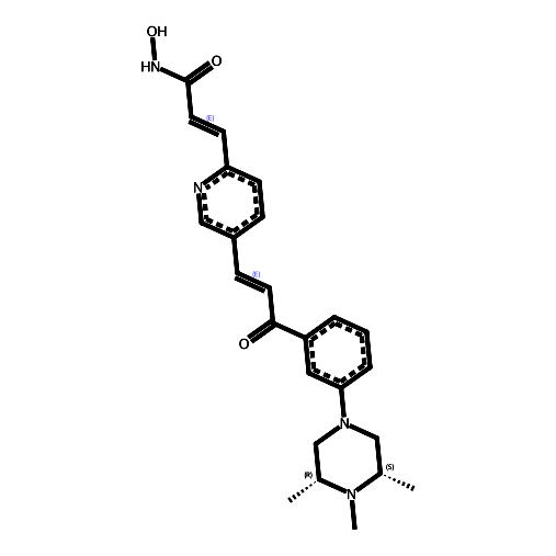 C[C@@H]1CN(c2cccc(C(=O)/C=C/c3ccc(/C=C/C(=O)NO)nc3)c2)C[C@H](C)N1C